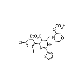 CCOC(=O)C1=C(CN2CCOC[C@@H]2OC(=O)O)NC(c2nccs2)=N[C@H]1c1ccc(Cl)cc1F